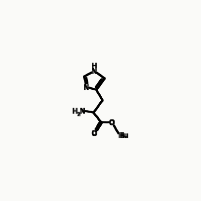 CCC(C)OC(=O)C(N)Cc1c[nH]cn1